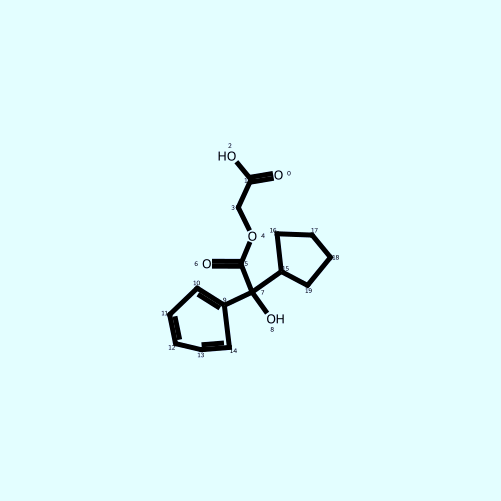 O=C(O)COC(=O)C(O)(c1ccccc1)C1CCCC1